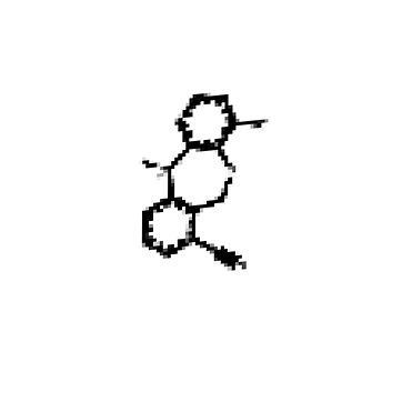 C[C@@H]1c2cccc(C#N)c2CSc2c(Cl)cccc21